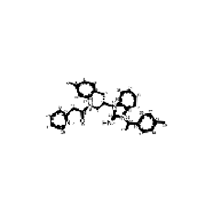 Cc1ccc(C[C@@H](CNC(=O)Cc2ccccn2)n2c(=N)n(C(C)c3ccc(C)cc3)c3ccccc32)cc1